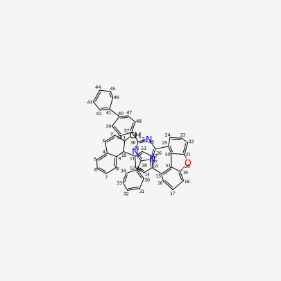 CC1C=Cc2ccccc2C1c1ccc(-c2cccc3oc4cccc(-c5nc(-c6ccccc6)nc(-c6ccc(-c7ccccc7)cc6)n5)c4c23)cc1